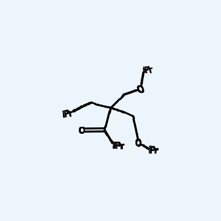 CC(C)CC(COC(C)C)(COC(C)C)C(=O)C(C)C